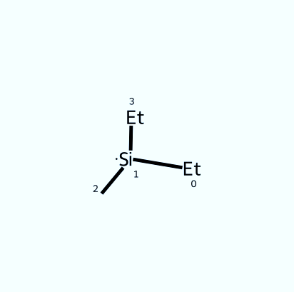 CC[Si](C)CC